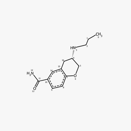 CCCN[C@@H]1COc2ccc(C(N)=O)cc2C1